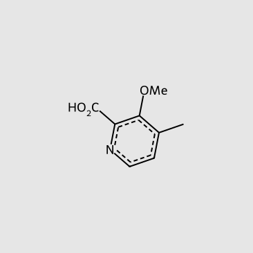 COc1c(C)ccnc1C(=O)O